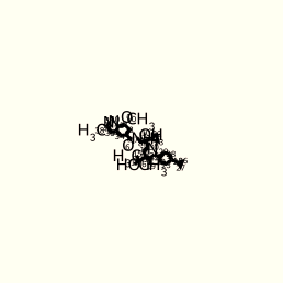 COc1cc(C(=O)NC[C@](O)(c2cc(C(C)(C)O)c(F)c(-c3ccc(C4CC4)cc3)n2)C2CC2)cc2cc(C)nnc12